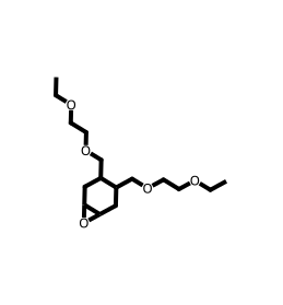 CCOCCOCC1CC2OC2CC1COCCOCC